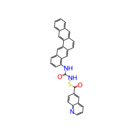 O=C(NSC(=O)c1ccc2ncccc2c1)Nc1cccc2cc3c(ccc4cc5ccccc5cc43)cc12